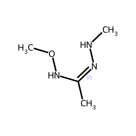 CN/N=C(/C)NOC